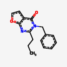 CCCc1nc2occc2c(=O)n1Cc1ccccc1